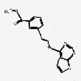 COC(=O)c1cccc(CCNc2ncnc3sccc23)c1